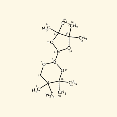 CC1(C)COB(B2OC(C)(C)C(C)(C)O2)OC1(C)C